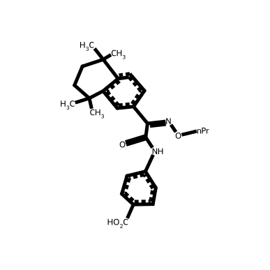 CCCO/N=C(\C(=O)Nc1ccc(C(=O)O)cc1)c1ccc2c(c1)C(C)(C)CCC2(C)C